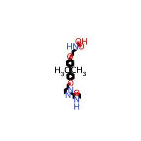 CC(C)(c1ccc(OCCCNC(=O)O)cc1)c1ccc(OCc2ccnc(C3CNCCO3)n2)cc1